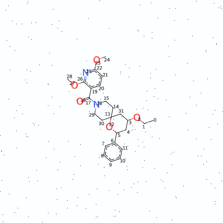 CCOC1CC(c2ccccc2)OC2(CCN(C(=O)c3ccc(OC)nc3OC)CC2)C1